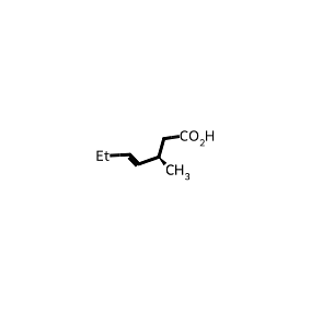 CCC=C[C@H](C)CC(=O)O